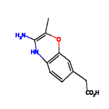 CC1=C(N)Nc2ccc(CC(=O)O)cc2O1